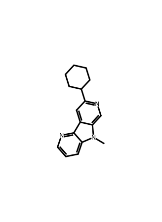 Cn1c2cnc(C3CCCCC3)cc2c2ncccc21